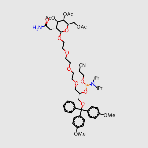 COc1ccc(C(OC[C@H](COCCOCCOCCO[C@@H]2O[C@H](COC(C)=O)[C@H](OC(C)=O)[C@H](OC(C)=O)[C@H]2CC(N)=O)OP(OCCC#N)N(C(C)C)C(C)C)(c2ccccc2)c2ccc(OC)cc2)cc1